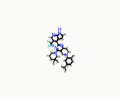 Cc1ccc(C(C)C)cc1N1CCc2nc(-c3c(C(F)(F)F)cnc4[nH]ccc34)nc(N3CCCC(C)(C)C3)c2C1